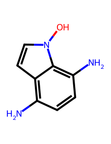 Nc1ccc(N)c2c1ccn2O